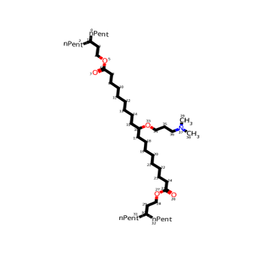 CCCCCC(CCCCC)CCOC(=O)CCCCCCCCC(CCCCCCCCC(=O)OCCC(CCCCC)CCCCC)OCCCN(C)C